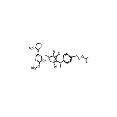 C[C@H](c1ccc(SOON(C)C)cc1)N1C(=O)[C@@H]2C[C@H]1CN2C[C@H](NC(=O)OC(C)(C)C)C(=O)N1CCC[C@H]1C#N